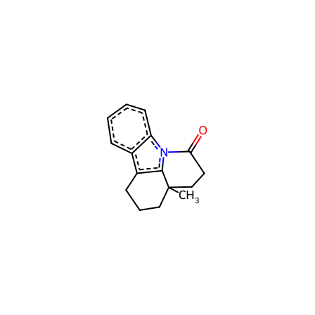 CC12CCCc3c1n(c1ccccc31)C(=O)CC2